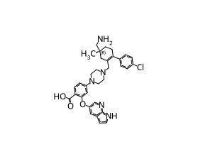 C[C@@]1(CN)CCC(c2ccc(Cl)cc2)=C(CN2CCN(c3ccc(C(=O)O)c(Oc4cnc5[nH]ccc5c4)c3)CC2)C1